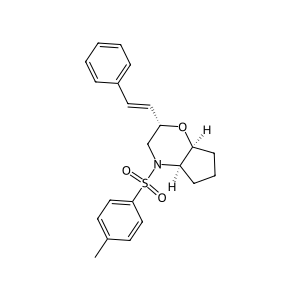 Cc1ccc(S(=O)(=O)N2C[C@H](/C=C/c3ccccc3)O[C@H]3CCC[C@H]32)cc1